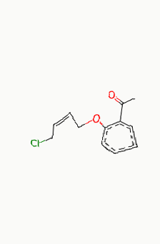 CC(=O)c1ccccc1OC/C=C\CCl